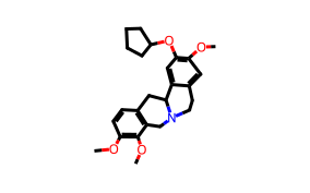 COc1cc2c(cc1OC1CCCC1)C1Cc3ccc(OC)c(OC)c3CN1CC2